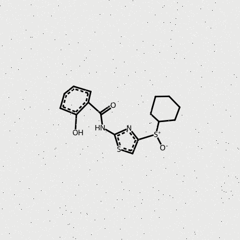 O=C(Nc1nc([S+]([O-])C2CCCCC2)cs1)c1ccccc1O